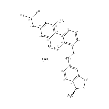 CC(=O)O[C@@H]1COc2cc(NCc3cccc(-c4c(C)nc(OC(F)F)nc4C)c3C)ccc21.[CaH2]